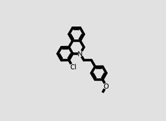 COc1ccc(CCN2Cc3ccccc3-c3cccc(Cl)c32)cc1